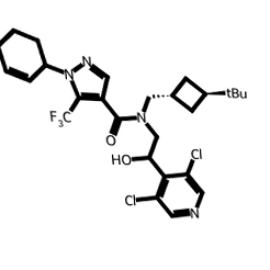 CC(C)(C)[C@H]1C[C@H](CN(CC(O)c2c(Cl)cncc2Cl)C(=O)c2cnn(C3C=CCCC3)c2C(F)(F)F)C1